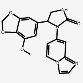 COc1cc(C2CNC(=O)N2c2ccn3ccnc3c2)cc2c1OCO2